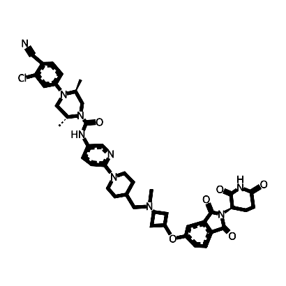 C[C@@H]1CN(c2ccc(C#N)c(Cl)c2)[C@@H](C)CN1C(=O)Nc1ccc(N2CCC(CN(C)C3CC(Oc4ccc5c(c4)C(=O)N([C@@H]4CCC(=O)NC4=O)C5=O)C3)CC2)nc1